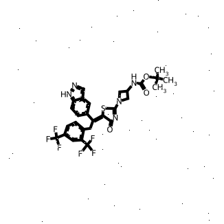 CC(C)(C)OC(=O)NC1CN(C2=NC(=O)C(=C(Cc3ccc(C(F)(F)F)cc3C(F)(F)F)c3ccc4[nH]ncc4c3)S2)C1